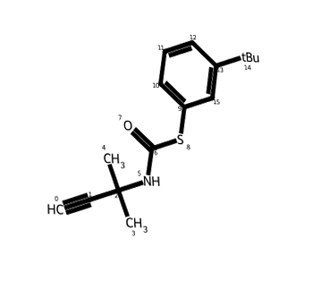 C#CC(C)(C)NC(=O)Sc1cccc(C(C)(C)C)c1